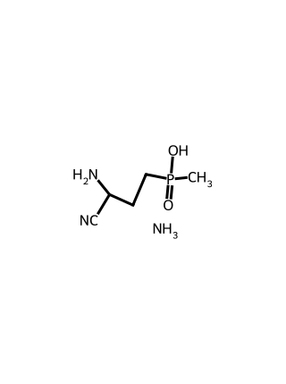 CP(=O)(O)CCC(N)C#N.N